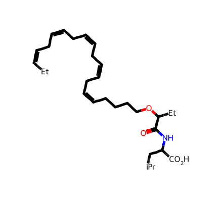 CC/C=C\C/C=C\C/C=C\C/C=C\C/C=C\CCCCOC(CC)C(=O)NC(CC(C)C)C(=O)O